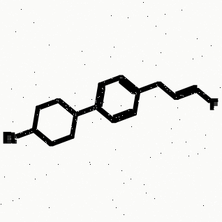 CCC1CCC(c2ccc(CC=CF)cc2)CC1